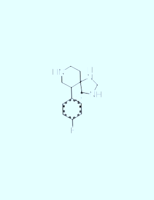 O=C1NCNC12CCNCC2c1ccc(F)cc1